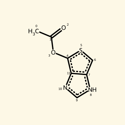 CC(=O)Oc1scc2[nH]cnc12